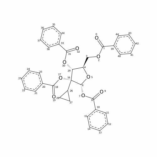 O=C(OC[C@H]1O[C@H](OC(=O)c2ccccc2)[C@@](OC(=O)c2ccccc2)(C2CC2)[C@@H]1OC(=O)c1ccccc1)c1ccccc1